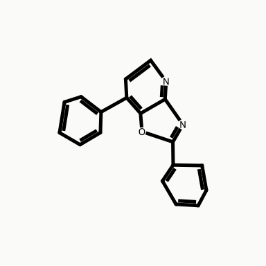 c1ccc(-c2nc3nccc(-c4ccccc4)c3o2)cc1